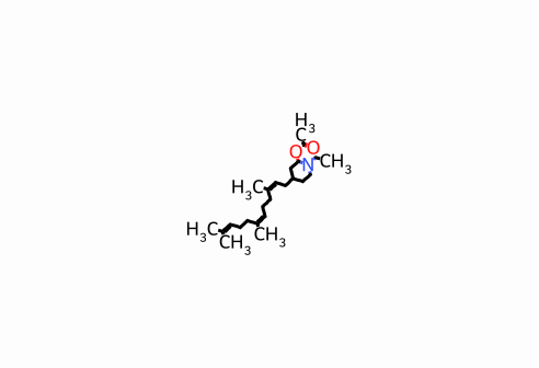 CCN1CCC(CC=C(C)CCC=C(C)CCC=C(C)C)CC1OC(C)=O